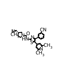 C/N=C\[C@@H]1CCN(C(=O)Nc2nc(-c3cccc(C#N)c3)c(-c3cc(C)nc(C)c3)s2)C1